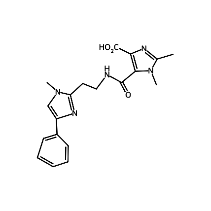 Cc1nc(C(=O)O)c(C(=O)NCCc2nc(-c3ccccc3)cn2C)n1C